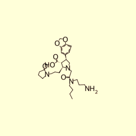 CCCCN(CCCN)C(=O)CN1C[C@H](c2ccc3c(c2)OCO3)[C@@H](C(=O)O)[C@@H]1CCCN1CCCC1=O